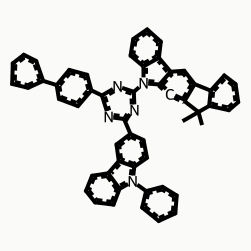 CC1(C)c2ccccc2-c2cc3c4ccccc4n(-c4nc(-c5ccc(-c6ccccc6)cc5)nc(-c5ccc6c(c5)c5ccccc5n6-c5ccccc5)n4)c3cc21